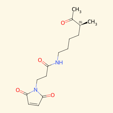 CC(=O)[C@@H](C)CCCCNC(=O)CCN1C(=O)C=CC1=O